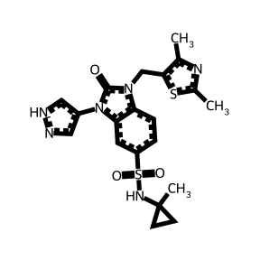 Cc1nc(C)c(Cn2c(=O)n(-c3cn[nH]c3)c3cc(S(=O)(=O)NC4(C)CC4)ccc32)s1